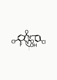 C[C@@H](O)Cn1c(=O)n(Cc2ccc(Cl)cc2)c(=O)c2ccc(Cl)c(F)c21